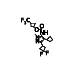 Cn1nc(C2CC(F)(F)C2)c(C2CCC2)c1NC(=O)OC1CC(C(F)(F)F)C1